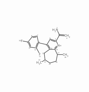 C=C(N)c1cc(-c2ccc(F)cc2F)c2c(n1)C(C)CCC(C)C2